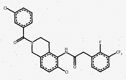 O=C(Cc1cccc(C(F)(F)F)c1F)Nc1c(Cl)ccc2c1CCN(C(=O)c1cccc(Cl)c1)C2